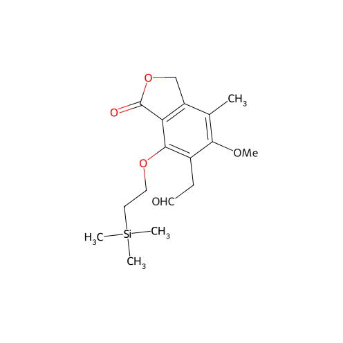 COc1c(C)c2c(c(OCC[Si](C)(C)C)c1CC=O)C(=O)OC2